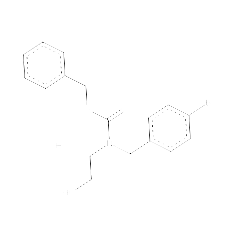 C[C@@H](CC=O)N(Cc1ccc(Br)cc1)C(=O)OCc1ccccc1